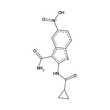 NC(=O)c1c(NC(=O)C2CC2)sc2ccc([N+](=O)O)cc12